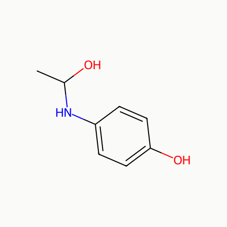 CC(O)Nc1ccc(O)cc1